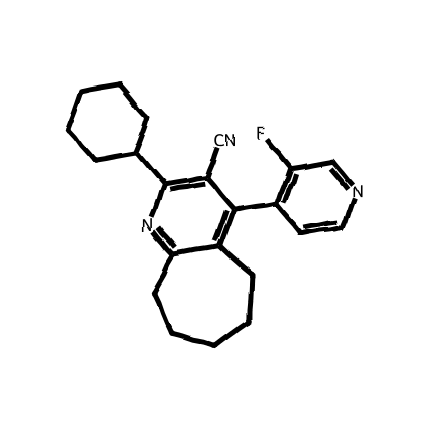 N#Cc1c(C2CCCCC2)nc2c(c1-c1ccncc1F)CCCCC2